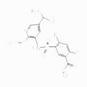 COC(=O)c1cc(S(=O)(=O)Nc2cc(C(C)C)cnc2OC)c(F)cc1F